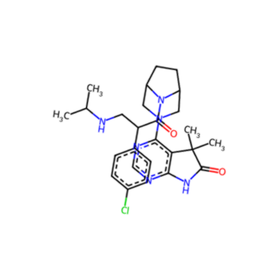 CC(C)NCC(C(=O)N1C2CCC1CN(c1ncnc3c1C(C)(C)C(=O)N3)C2)c1ccc(Cl)cc1